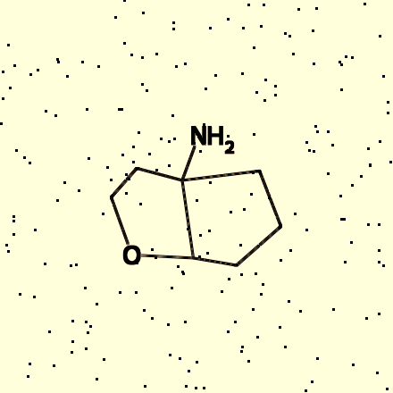 NC12CCCC1OCC2